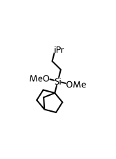 CO[Si](CCC(C)C)(OC)C12CCC(CC1)C2